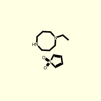 CCN1CCCNCCC1.O=S1(=O)C=CC=C1